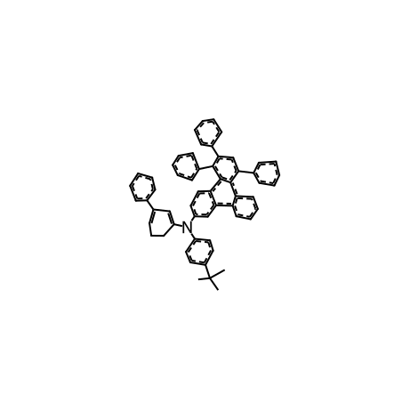 CC(C)(C)c1ccc(N(C2=CC(c3ccccc3)=CCC2)c2ccc3c(c2)c2ccccc2c2c(-c4ccccc4)cc(-c4ccccc4)c(-c4ccccc4)c32)cc1